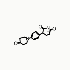 O=C1CCN(c2ccc(C3CCC(=O)NC3=O)cc2)CC1